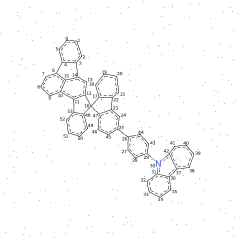 c1ccc2c(c1)-c1cccc3c4c(cc-2c13)C1(c2ccccc2-c2cc(-c3ccc(-n5c6ccccc6c6ccccc65)cc3)ccc21)c1ccccc1-4